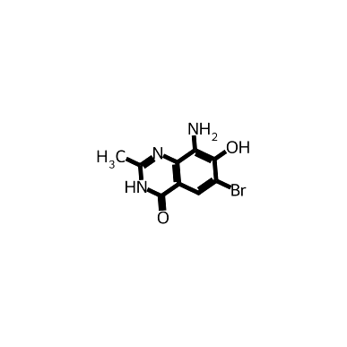 Cc1nc2c(N)c(O)c(Br)cc2c(=O)[nH]1